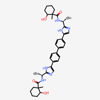 CC1(C(=O)N[C@H](c2ncc(-c3ccc(-c4ccc(-c5cnc([C@@H](NC(=O)C6(C)CCCCC6O)C(C)(C)C)[nH]5)cc4)cc3)[nH]2)C(C)(C)C)CCCCC1O